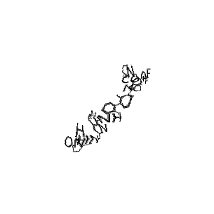 Cc1c(Nc2nccc3cc(CNCC4CCC(=O)N4)cnc23)cccc1-c1cccc(-c2nc3cc(CN4CCC[C@H]4C(=O)O)c(OC(F)F)cc3o2)c1C